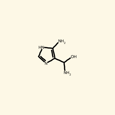 Nc1[nH]cnc1C(N)O